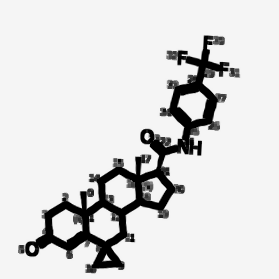 C[C@]12CCC(=O)C=C1C1(CC1)CC1C2CC[C@@]2(C)C1CC[C@@H]2C(=O)Nc1ccc(C(F)(F)F)cc1